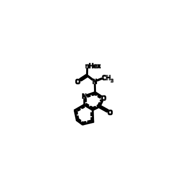 CCCCCCC(=O)N(C)c1nc2ccccc2c(=O)o1